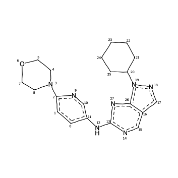 c1cc(N2CCOCC2)ncc1Nc1ncc2cnn(C3CCCCC3)c2n1